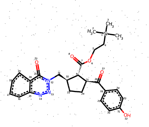 C[Si](C)(C)CCOC(=O)[C@H]1[C@H](Cn2nnc3ccccc3c2=O)CC[C@@H]1C(=O)c1ccc(O)cc1